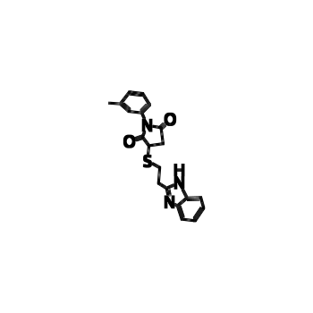 Cc1cccc(N2C(=O)CC(SCCc3nc4ccccc4[nH]3)C2=O)c1